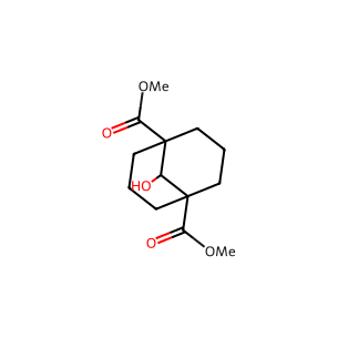 COC(=O)C12CCCC(C(=O)OC)(CCC1)C2O